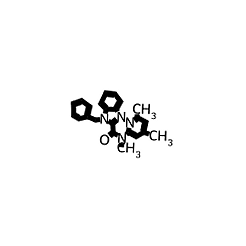 Cc1cc(C)nc(N(C)C(=O)c2nc3ccccc3n2Cc2ccccc2)c1